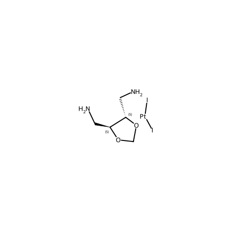 NC[C@@H]1OCO[C@H]1CN.[I][Pt][I]